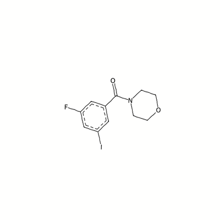 O=C(c1cc(F)cc(I)c1)N1CCOCC1